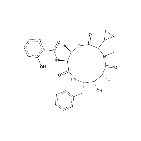 C[C@H]1OC(=O)C(C2CC2)N(C)C(=O)[C@H](C)[C@H](O)[C@H](Cc2ccccc2)NC(=O)[C@H]1NC(=O)c1ncccc1O